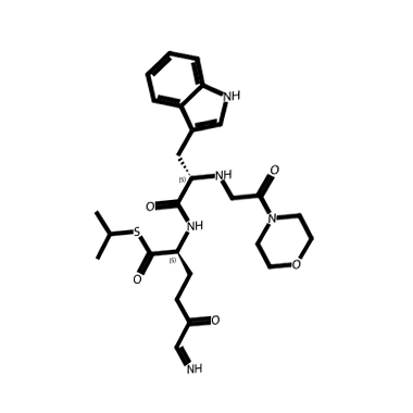 CC(C)SC(=O)[C@H](CCC(=O)C=N)NC(=O)[C@H](Cc1c[nH]c2ccccc12)NCC(=O)N1CCOCC1